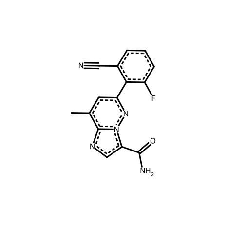 Cc1cc(-c2c(F)cccc2C#N)nn2c(C(N)=O)cnc12